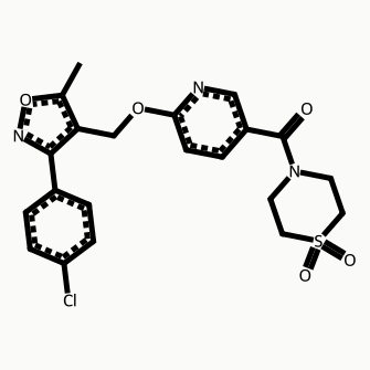 Cc1onc(-c2ccc(Cl)cc2)c1COc1ccc(C(=O)N2CCS(=O)(=O)CC2)cn1